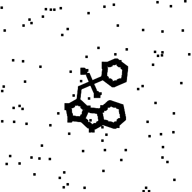 BrC(Br)(Cc1nsc2nc3ccccc3n12)c1ccccn1